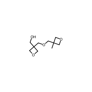 CC1(COCC2(CO)COC2)COC1